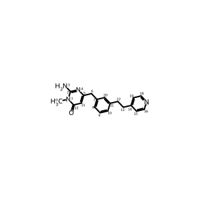 Cn1c(N)nc(Cc2cccc(CCc3ccncc3)c2)cc1=O